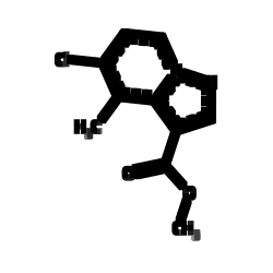 COC(=O)c1cnn2ccc(Cl)c(C)c12